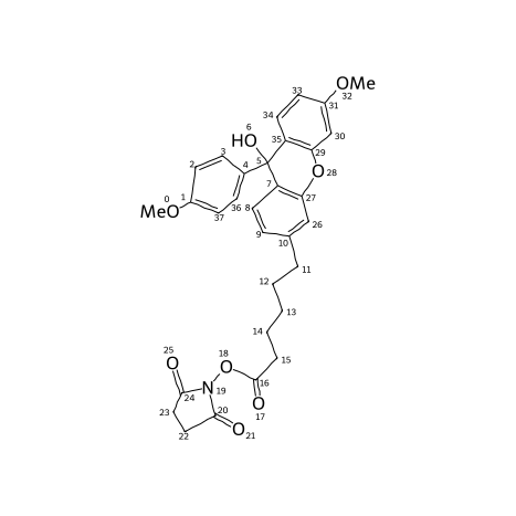 COc1ccc(C2(O)c3ccc(CCCCCC(=O)ON4C(=O)CCC4=O)cc3Oc3cc(OC)ccc32)cc1